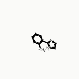 [CH2]c1ccccc1-c1ncc[nH]1